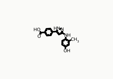 Cc1cc(O)ccc1Nc1cc(-c2ccc(C(=O)O)cc2)[nH]n1